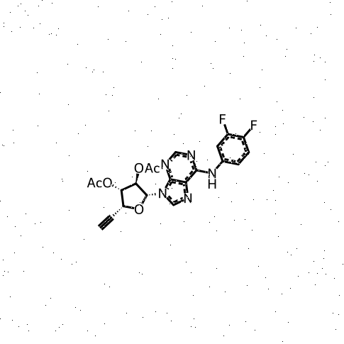 C#C[C@H]1O[C@@H](n2cnc3c(Nc4ccc(F)c(F)c4)ncnc32)[C@H](OC(C)=O)[C@H]1OC(C)=O